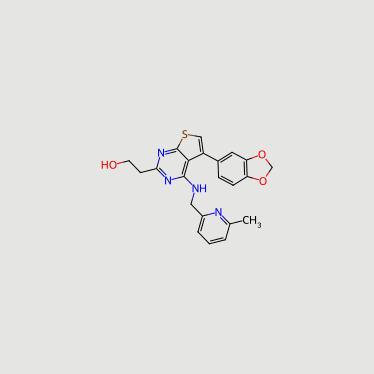 Cc1cccc(CNc2nc(CCO)nc3scc(-c4ccc5c(c4)OCO5)c23)n1